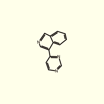 c1ccc2c(-c3ccncn3)cncc2c1